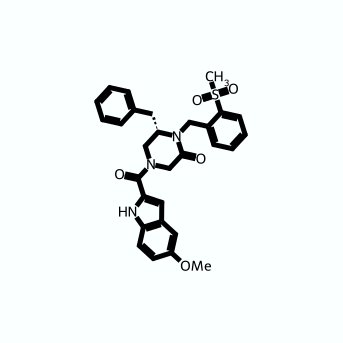 COc1ccc2[nH]c(C(=O)N3CC(=O)N(Cc4ccccc4S(C)(=O)=O)[C@@H](Cc4ccccc4)C3)cc2c1